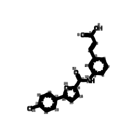 O=C(O)/C=C/c1cccc(NC(=O)c2ccc(-c3ccc(Cl)cc3)o2)c1